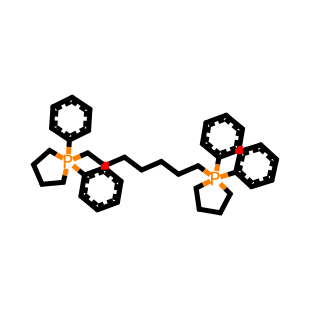 c1ccc(P2(CCCCCCCP3(c4ccccc4)(c4ccccc4)CCCC3)(c3ccccc3)CCCC2)cc1